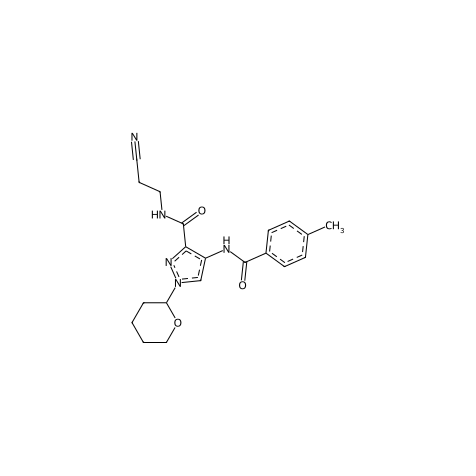 Cc1ccc(C(=O)Nc2cn(C3CCCCO3)nc2C(=O)NCCC#N)cc1